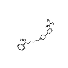 CC(C)C(=O)Nc1cccc(C2CCN(CCCCCC(O)c3ccccc3)CC2)c1